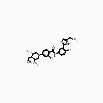 CCc1cnc(-c2cc(NC(=O)c3ccc(N4C[C@@H](C)N(CC)[C@H](C)C4)cc3Cl)ccc2Cl)[nH]1